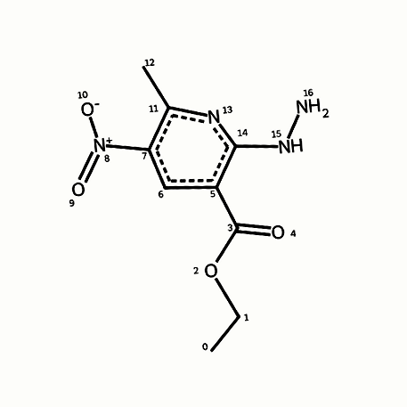 CCOC(=O)c1cc([N+](=O)[O-])c(C)nc1NN